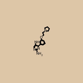 Nc1ncc(N)c(-c2cccc(OCCN3CCCC3)c2)n1